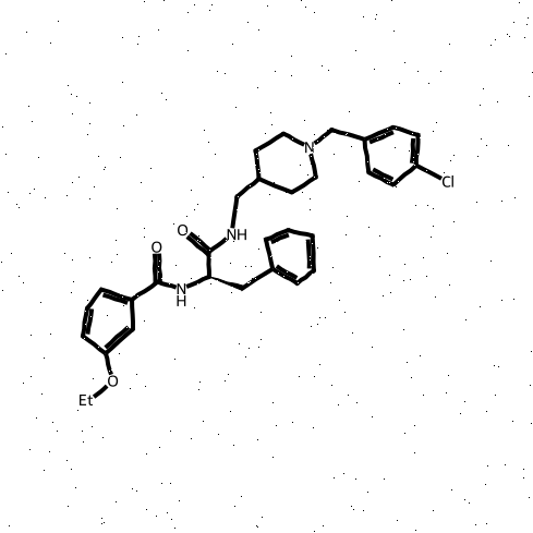 CCOc1cccc(C(=O)N[C@H](Cc2ccccc2)C(=O)NCC2CCN(Cc3ccc(Cl)cc3)CC2)c1